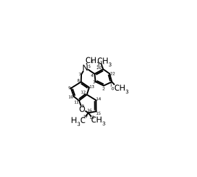 Cc1ccc(N(C)Cc2ccc3c(c2)C=CC(C)(C)O3)c(C)c1